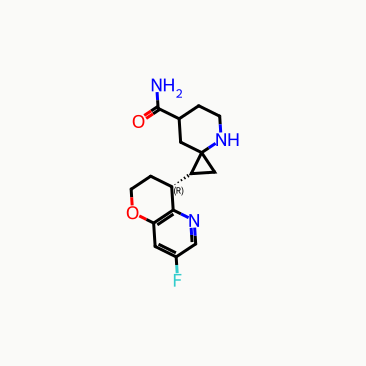 NC(=O)C1CCNC2(C1)CC2[C@H]1CCOc2cc(F)cnc21